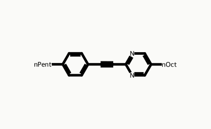 CCCCCCCCc1cnc(C#Cc2ccc(CCCCC)cc2)nc1